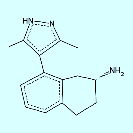 Cc1n[nH]c(C)c1-c1cccc2c1C[C@H](N)CC2